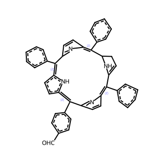 O=Cc1ccc(/C2=c3\cc/c([nH]3)=C(\c3ccccc3)C3=N/C(=C(/c4ccccc4)C4CC=C(N4)/C(c4ccccc4)=C4/C=CC2=N4)C=C3)cc1